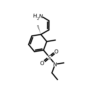 CCN(C)S(=O)(=O)C1=CC=C[C@@](C)(/C=C\N)C1C